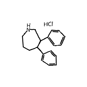 Cl.c1ccc(C2CCCNCC2c2ccccc2)cc1